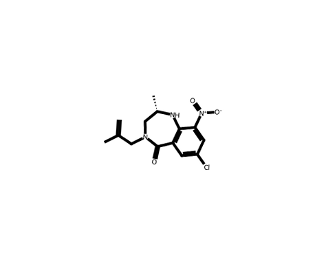 C=C(C)CN1C[C@H](C)Nc2c(cc(Cl)cc2[N+](=O)[O-])C1=O